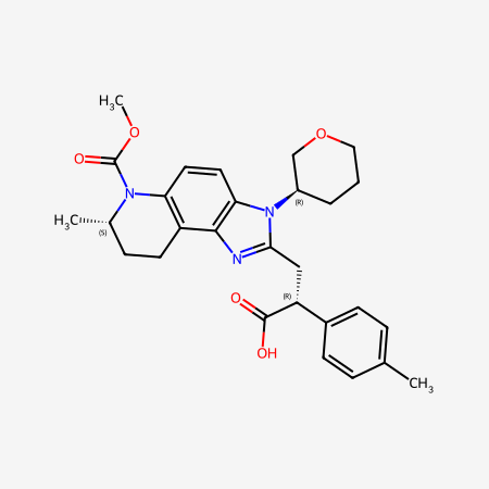 COC(=O)N1c2ccc3c(nc(C[C@@H](C(=O)O)c4ccc(C)cc4)n3[C@@H]3CCCOC3)c2CC[C@@H]1C